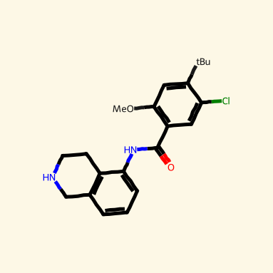 COc1cc(C(C)(C)C)c(Cl)cc1C(=O)Nc1cccc2c1CCNC2